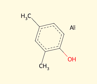 Cc1ccc(O)c(C)c1.[Al]